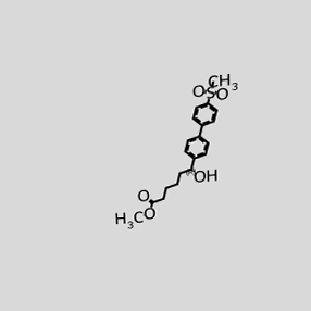 COC(=O)CCCC[C@@H](O)c1ccc(-c2ccc(S(C)(=O)=O)cc2)cc1